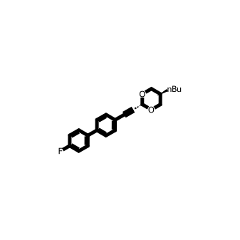 CCCC[C@H]1CO[C@H](C#Cc2ccc(-c3ccc(F)cc3)cc2)OC1